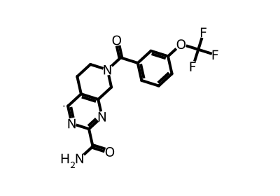 NC(=O)c1n[c]c2c(n1)CN(C(=O)c1cccc(OC(F)(F)F)c1)CC2